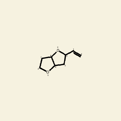 C=[C]C1CC2OCCC2O1